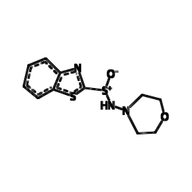 [O-][S+](NN1CCOCC1)c1nc2ccccc2s1